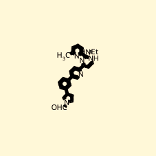 CCNC1(c2cccc(C)n2)N=C(c2ccc(-c3cccc(C4CCN(C=O)C4)c3)cn2)C=CN1